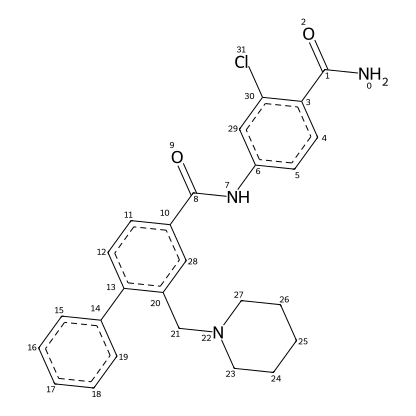 NC(=O)c1ccc(NC(=O)c2ccc(-c3ccccc3)c(CN3CCCCC3)c2)cc1Cl